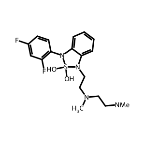 CNCCN(C)CCN1c2ccccc2N(c2ccc(F)cc2F)S1(O)O